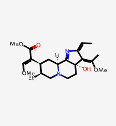 C/C=C1/N=C2[C@@H]3C[C@H](/C(=C\OC)C(=O)OC)[C@H](CC)CN3CC[C@]2(O)/C1=C(/C)OC